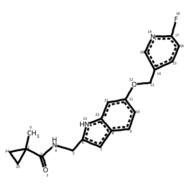 CC1(C(=O)NCc2cc3ccc(OCc4ccc(F)nc4)cc3[nH]2)CC1